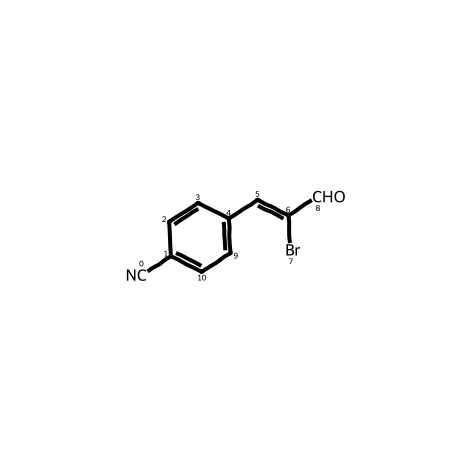 N#Cc1ccc(C=C(Br)C=O)cc1